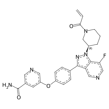 C=CC(=O)N1CCC[C@@H](n2nc(-c3ccc(Oc4cncc(C(N)=O)c4)cc3)c3cncc(F)c32)C1